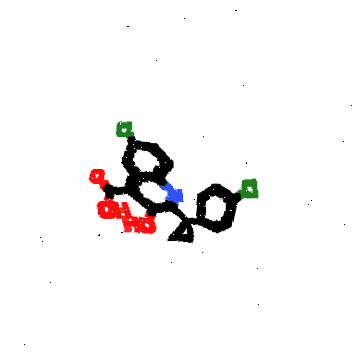 O=C(O)c1c(O)c(C2(c3ccc(Cl)cc3)CC2)nc2ccc(Cl)cc12